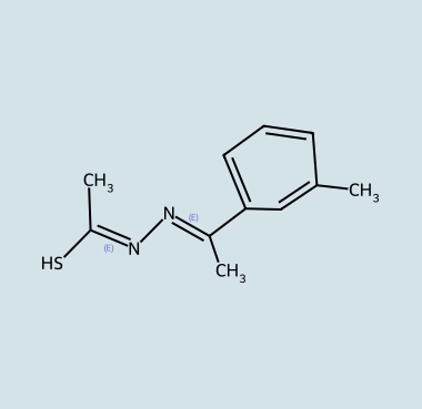 C/C(S)=N\N=C(/C)c1cccc(C)c1